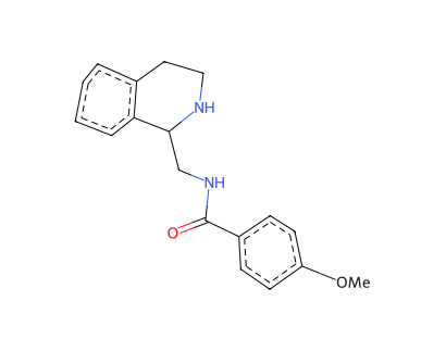 COc1ccc(C(=O)NCC2NCCc3ccccc32)cc1